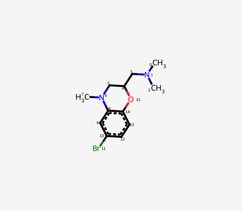 CN(C)CC1CN(C)c2cc(Br)ccc2O1